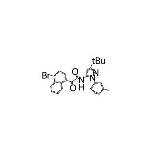 Cc1cccc(-n2nc(C(C)(C)C)cc2NC(=O)C(=O)c2ccc(Br)c3ccccc23)c1